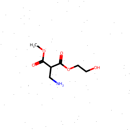 COC(=O)C(CN)C(=O)OCCO